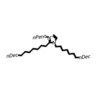 CCCCCCCCCCCCCCCCCc1n(CCCCCCCCCCCCCCCCC)cc[n+]1CCCCC